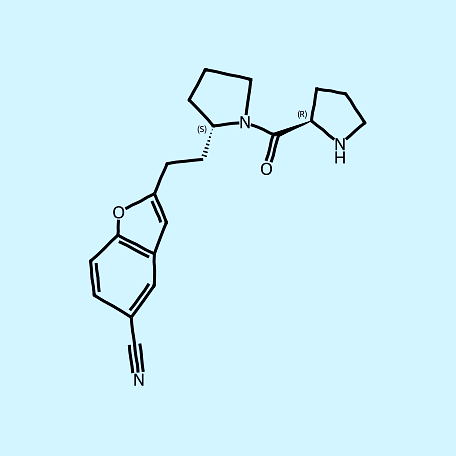 N#Cc1ccc2oc(CC[C@@H]3CCCN3C(=O)[C@H]3CCCN3)cc2c1